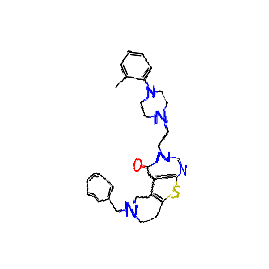 Cc1ccccc1N1CCN(CCn2cnc3sc4c(c3c2=O)CN(Cc2ccccc2)CC4)CC1